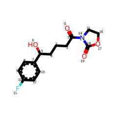 O=C(CCCC(O)c1ccc(F)cc1)N1CCOC1=O